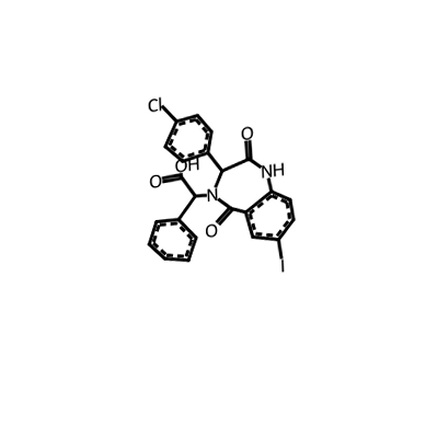 O=C(O)C(c1ccccc1)N1C(=O)c2cc(I)ccc2NC(=O)C1c1ccc(Cl)cc1